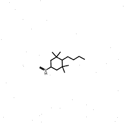 C=[SH]C1CC(C)(C)C(CCCC)C(C)(C)C1